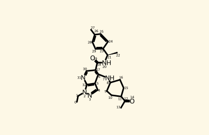 CCn1ncc2c(NC3CCC(C(C)=O)CC3)c(C(=O)N[C@H](C)c3ccc(C)cc3)cnc21